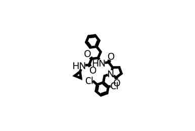 O=C(NC1CC1)C(=O)C(Cc1ccccc1)NC(=O)C1CCC(=O)N1Cc1c(Cl)cccc1Cl